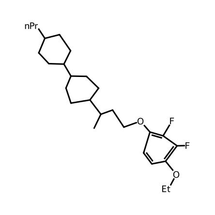 CCCC1CCC(C2CCC(C(C)CCOc3ccc(OCC)c(F)c3F)CC2)CC1